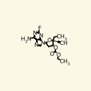 C#C[C@]1(CC)O[C@@H](n2cnc3c(N)nc(F)nc32)C[C@@H]1OC(=O)OCC